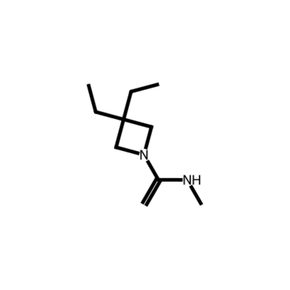 C=C(NC)N1CC(CC)(CC)C1